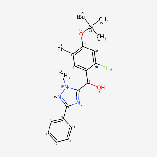 CCc1cc(C(O)c2nc(-c3ccccc3)nn2C)c(F)cc1O[Si](C)(C)C(C)(C)C